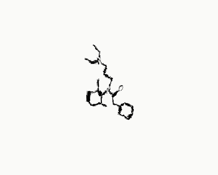 CCN(CC)CCCN(C(=O)Cc1ccccc1)c1c(C)cccc1C